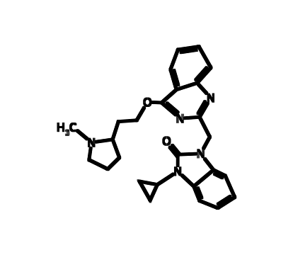 CN1CCCC1CCOc1nc(Cn2c(=O)n(C3CC3)c3ccccc32)nc2ccccc12